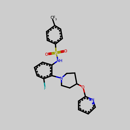 O=S(=O)(Nc1cccc(F)c1N1CCC(Oc2ccccn2)CC1)c1ccc(C(F)(F)F)cc1